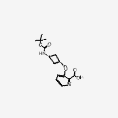 CC(C)(C)OC(=O)N[C@H]1C[C@@H](Oc2cccnc2C(=O)O)C1